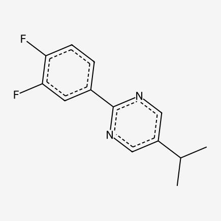 CC(C)c1cnc(-c2ccc(F)c(F)c2)nc1